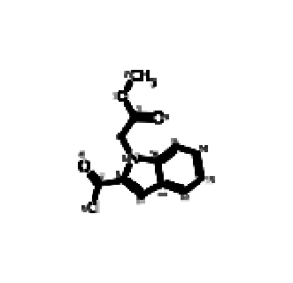 COC(=O)Cn1c(C(=O)Cl)cc2ccccc21